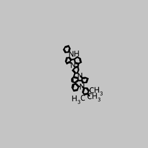 Cc1cc(N(c2cc#ccc2)c2cccc3c2c2cc#cc4c2n3C2Cc3c5c6n(c3C=C42)-c2cccc(Nc3ccccc3)c2C6CC=C5)cc(C)c1C